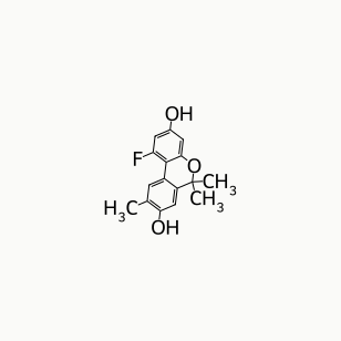 Cc1cc2c(cc1O)C(C)(C)Oc1cc(O)cc(F)c1-2